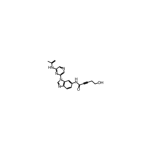 C=C(C)Nc1cncc(-n2cnc3ccc(NC(=O)C#CCCO)cc32)n1